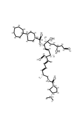 C/C(=C\C=C\[C@@H](C)COC(=O)N1CC[C@H](N(C)C)C1)[C@@H](C=O)[C@@H](C)/C=C/[C@H](OC(=O)N1CCN(C2CCCCCC2)CC1)[C@@](C)(O)CC[C@H](O)CC=O